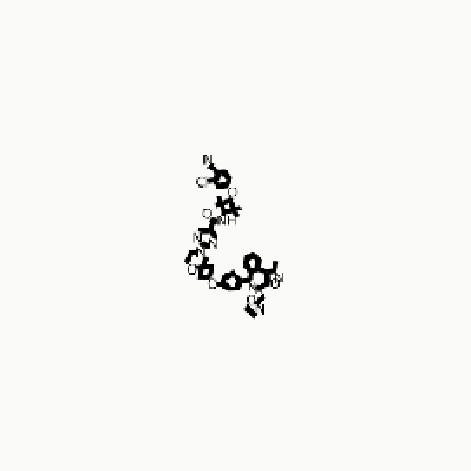 Cc1noc2c1-c1ccccc1C(c1ccc(OC3CC4(C3)CN(c3ncc(C(=O)NC5C(C)(C)C(Oc6ccc(C#N)c(Cl)c6)C5(C)C)cn3)CCO4)cc1)=N[C@H]2Cc1ncco1